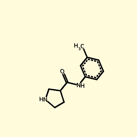 Cc1cccc(NC(=O)C2CCNC2)c1